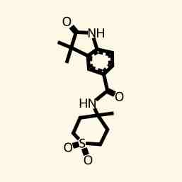 CC1(NC(=O)c2ccc3c(c2)C(C)(C)C(=O)N3)CCS(=O)(=O)CC1